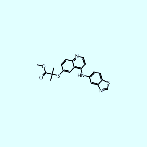 COC(=O)C(C)(C)Sc1ccc2nccc(Nc3ccc4scnc4c3)c2c1